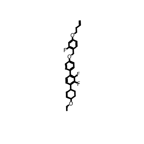 C=CCCOc1ccc(COc2ccc(-c3ccc(C4CCC(OCC)CC4)c(F)c3F)cc2)c(F)c1